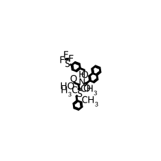 Cc1ccccc1CSC(C)(C)[C@H](NC(=O)c1ccc2ccccc2c1OCc1ccc(SC(F)(F)F)cc1)C(=O)O